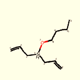 C=CC[SiH](CC=C)OCCCC